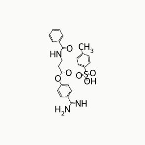 Cc1ccc(S(=O)(=O)O)cc1.N=C(N)c1ccc(OC(=O)CCNC(=O)c2ccccc2)cc1